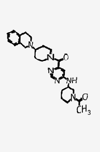 CC(=O)N1CCCC(Nc2cc(C(=O)N3CCC(N4CCc5ccccc5C4)CC3)ncn2)C1